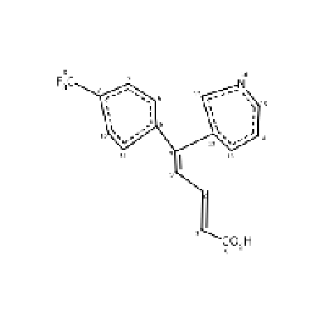 O=C(O)C=CC=C(c1ccc(C(F)(F)F)cc1)c1cccnc1